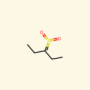 CCC(CC)=S(=O)=O